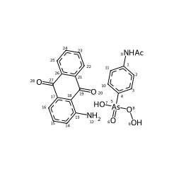 CC(=O)Nc1ccc([As](=O)(O)OO)cc1.Nc1cccc2c1C(=O)c1ccccc1C2=O